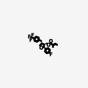 C/C=C(\C)C(=O)OC[C@H]1[C@@H](Cc2ccc(C(F)(F)F)cc2)CO[C@@H]1c1ccc(F)cc1